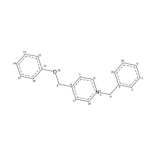 c1ccc(C[n+]2ccc(COc3ccccc3)cc2)cc1